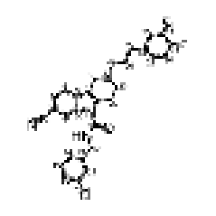 N#Cc1ccc2c3c(n(C(=O)NCc4ccnc(Cl)c4)c2c1)CCN(CC=Cc1ccc(F)c(Cl)c1)C3